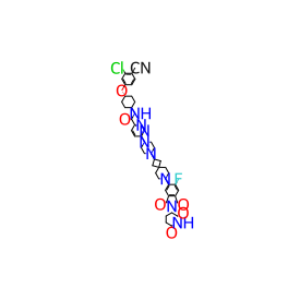 N#Cc1ccc(O[C@H]2CC[C@H](NC(=O)c3ccc(N4CCN(C5CC6(CCN(c7cc8c(cc7F)C(=O)N(C7CCC(=O)NC7=O)C8=O)CC6)C5)CC4)nn3)CC2)cc1Cl